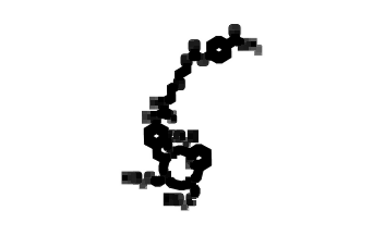 NC(=O)c1ccc(OC(=O)OCCOCCNC(=S)Nc2ccc(CC3CN(CC(=O)O)CCN(CC(=O)O)Cc4cccc(n4)CN3CC(=O)O)cc2)cc1